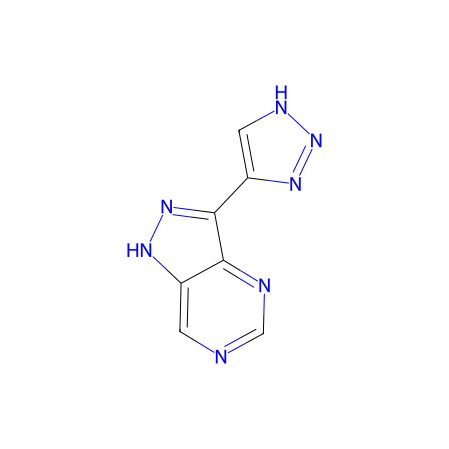 c1ncc2[nH]nc(-c3c[nH]nn3)c2n1